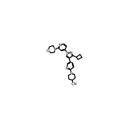 N#CC1CCN(c2ccc(-c3cn(-c4ccnc(N5CCOCC5)c4)nc3C3CCC3)cn2)CC1